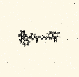 O=C(O)[C@H](c1cccc2cnn([C@@H]3CCOC3)c12)N1CC[C@@H](C(F)CCCCc2ccc3c(n2)NCCC3)C1